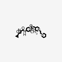 C[C@H]1C[C@@H](NC(=O)c2cc(C3CC3)on2)CCN1S(=O)(=O)CC1CCN(CCN2CCCCC2)CC1